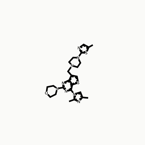 Cc1cn(-c2nc(N3CCOCC3)nc3c(CN4CCN(c5ncc(C)s5)CC4)csc23)c(C)n1